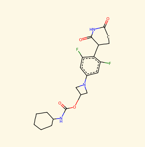 O=C1CCC(c2c(F)cc(N3CC(OC(=O)NC4CCCCC4)C3)cc2F)C(=O)N1